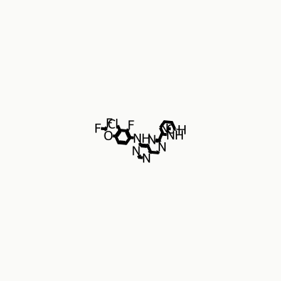 Fc1c(Nc2ncnc3cnc(N4C[C@H]5CCC4CN5)nc23)ccc(OC(F)F)c1Cl